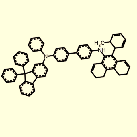 CC1C=CC=CC1c1c2c(c3c(c1Nc1ccc(-c4ccc(N(c5ccccc5)c5ccc6c(c5)C(c5ccccc5)(c5ccccc5)c5ccccc5-6)cc4)cc1)C=CCC3)CCC=C2